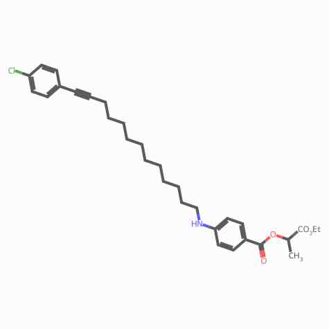 CCOC(=O)C(C)OC(=O)c1ccc(NCCCCCCCCCCCC#Cc2ccc(Cl)cc2)cc1